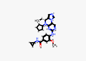 CC[C@@H]1c2cncn2-c2cnc(Nc3ccc(C(=O)NC4CC4)cc3OC)nc2N1C1CCCC1